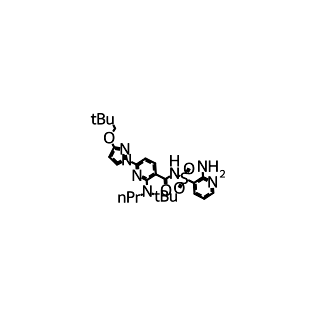 CCCN(c1nc(-n2ccc(OCC(C)(C)C)n2)ccc1C(=O)NS(=O)(=O)c1cccnc1N)C(C)(C)C